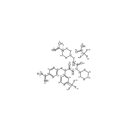 CC(=N)N1CCC(CNC(=O)[C@@H](NC(=O)C(Cc2ccc(C(=N)N)cc2)c2cccc(C(F)(F)F)c2)C2CCCCC2)CC1.O=C(O)C(F)(F)F